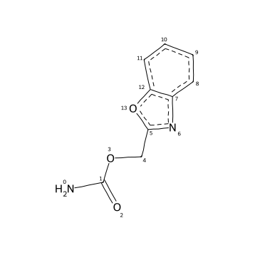 NC(=O)OCc1nc2ccccc2o1